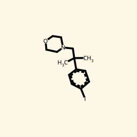 CC(C)(CN1CCOCC1)c1ccc(I)cc1